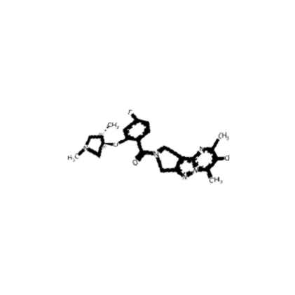 Cc1nc2c3c(nn2c(C)c1Cl)CN(C(=O)c1ccc(F)cc1O[C@H]1CN(C)C[C@@H]1C)C3